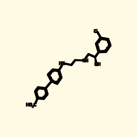 O=C(O)c1ccc(-c2ccc(NCCNC[C@H](O)c3cccc(Cl)c3)cc2)cc1